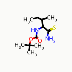 CCC(C)C(NC(=O)OC(C)(C)C)C(N)=S